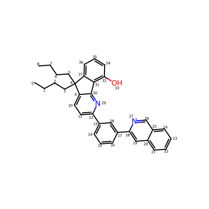 CCCCC1(CCCC)c2ccc(-c3cccc(-c4cc5ccccc5cn4)c3)nc2-c2c(O)cccc21